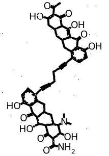 CC(=O)C1=C(O)CC2CC3Cc4c(C#CCCC#Cc5ccc(O)c6c5CC5CC7C(C(=O)C(C(N)=O)C(O)C7N(C)C)C(O)C5C6=O)ccc(O)c4C(=O)C3=C(O)C2C1=O